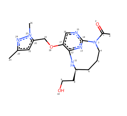 CC(=O)N1CCC[C@@H](CCO)Nc2nc1ncc2OCc1cc(C)nn1C